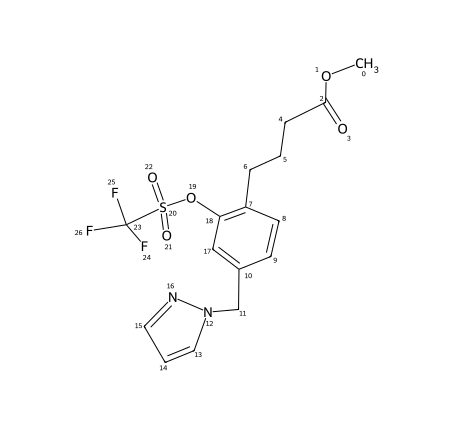 COC(=O)CCCc1ccc(Cn2cccn2)cc1OS(=O)(=O)C(F)(F)F